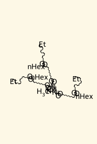 CC/C=C\C/C=C\C/C=C\C/C=C\C/C=C\CCCC(=O)OC(C/C=C\CCCCCCCCOC(=O)CCN(CCCN(C)C)CCCN(CCC(=O)OCCCCCCCC/C=C\CC(CCCCCC)OC(=O)CCC/C=C\C/C=C\C/C=C\C/C=C\C/C=C\CC)CCC(=O)OCCCCCCCC/C=C\CC(CCCCCC)OC(=O)CCC/C=C\C/C=C\C/C=C\C/C=C\C/C=C\CC)CCCCCC